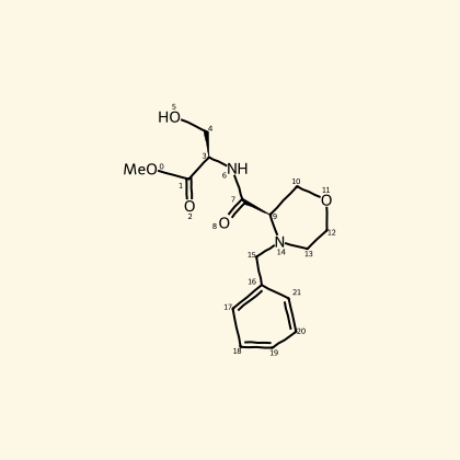 COC(=O)[C@@H](CO)NC(=O)[C@H]1COCCN1Cc1ccccc1